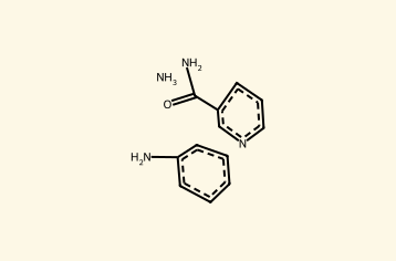 N.NC(=O)c1cccnc1.Nc1ccccc1